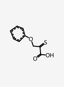 O=C(O)C(=S)COc1ccccc1